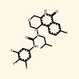 CC(C)CN(C(=O)Nc1cc(F)c(F)c(F)c1)[C@H]1COCc2[nH]c(=O)c3cc(F)ccc3c21